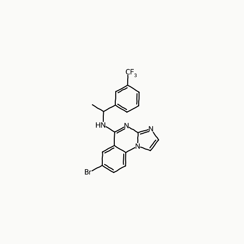 CC(Nc1nc2nccn2c2ccc(Br)cc12)c1cccc(C(F)(F)F)c1